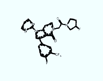 O=C(Cn1ccc2c(c(-c3ccc(F)c(C(F)(F)F)c3)cn2-c2ncccn2)c1=O)N1CCC(F)C1